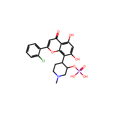 CN1CCC(c2c(O)cc(O)c3c(=O)cc(-c4ccccc4Cl)oc23)C(OP(=O)(O)O)C1